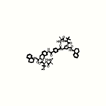 CN[C@@H](C)C(=O)NC(C(=O)N1CC(NC(=O)c2ccc(C(=O)Nc3ccc4c(c3)CN(C(=O)[C@@H](NC(=O)[C@H](C)NC)C(C)(C)SC)[C@H](C(=O)N[C@@H]3CCCc5ccccc53)C4)cc2)CC1C(=O)NC1CCCc2ccccc21)C(C)(C)C